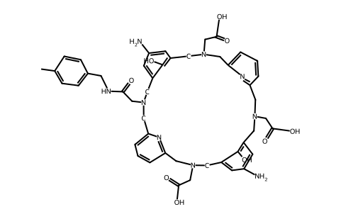 Cc1ccc(CNC(=O)CN2Cc3cccc(n3)CN(CC(=O)O)Cc3cc(N)cc(c3O)CN(CC(=O)O)Cc3cccc(n3)CN(CC(=O)O)Cc3cc(N)cc(c3O)C2)cc1